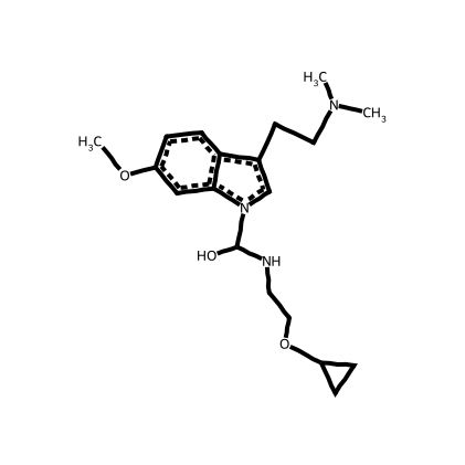 COc1ccc2c(CCN(C)C)cn(C(O)NCCOC3CC3)c2c1